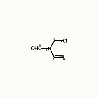 C=CN(C=O)CCl